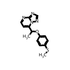 CSc1ccc(OC(C)c2ccnc3ncnn23)cc1